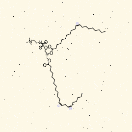 CCCCC/C=C\C/C=C\CCCCCCCCCCCC(=O)OC[C@H](COP(=O)([O-])OCC[N+](C)(C)C)OC(=O)CCCCCCCCC/C=C\CCCCCCCC